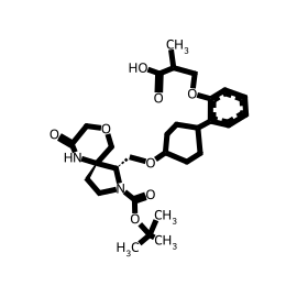 CC(COc1ccccc1C1CCC(OC[C@@H]2N(C(=O)OC(C)(C)C)CC[C@@]23COCC(=O)N3)CC1)C(=O)O